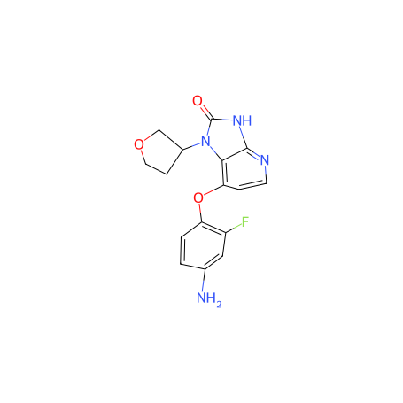 Nc1ccc(Oc2ccnc3[nH]c(=O)n(C4CCOC4)c23)c(F)c1